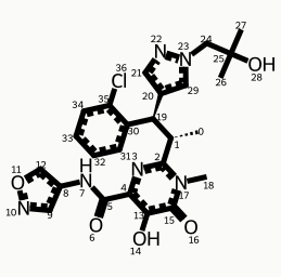 C[C@H](c1nc(C(=O)Nc2cnoc2)c(O)c(=O)n1C)[C@H](c1cnn(CC(C)(C)O)c1)c1ccccc1Cl